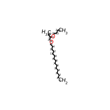 C=CCCCCCCCCCCCCCCOCC(CC)OCCCC